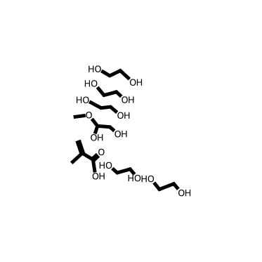 C=C(C)C(=O)O.COC(O)CO.OCCO.OCCO.OCCO.OCCO.OCCO